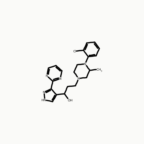 CC1CN(CCC(O)c2c[nH]nc2-c2ncccn2)CCN1c1ccccc1Cl